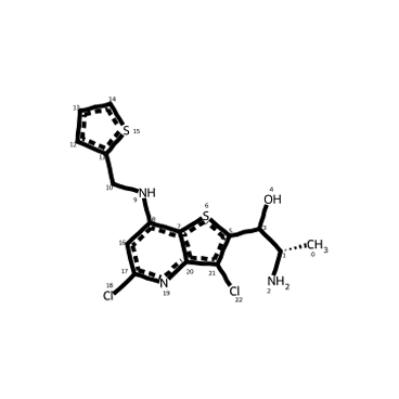 C[C@H](N)C(O)c1sc2c(NCc3cccs3)cc(Cl)nc2c1Cl